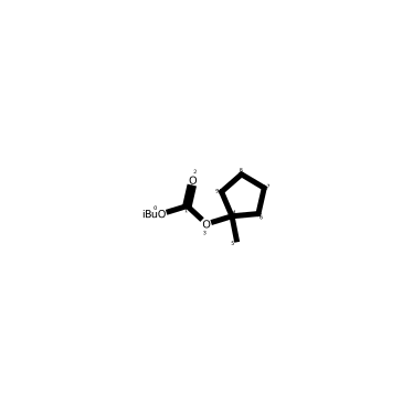 CC(C)[CH]OC(=O)OC1(C)CCCC1